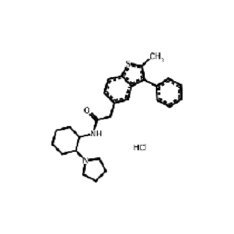 Cc1sc2ccc(CC(=O)NC3CCCCC3N3CCCC3)cc2c1-c1ccccc1.Cl